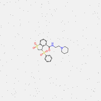 O=C(NCCN1CCCCC1)c1cccc2c1C(S(=O)(=O)c1ccccc1)CS2(=O)=O